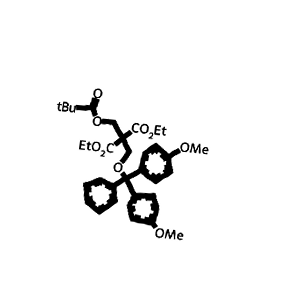 CCOC(=O)C(COC(=O)C(C)(C)C)(COC(c1ccccc1)(c1ccc(OC)cc1)c1ccc(OC)cc1)C(=O)OCC